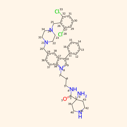 NC1(C(=O)NCCCn2cc(-c3ccccc3)c3cc(CN4CCN(Cc5c(Cl)cccc5Cl)CC4)ccc32)CCNCC1